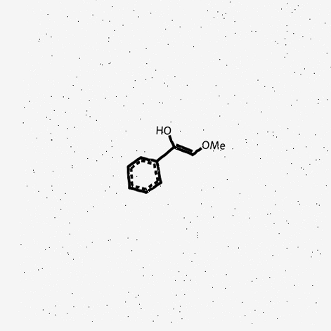 COC=C(O)c1ccccc1